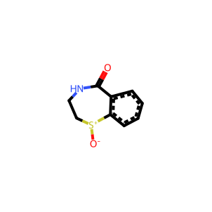 O=C1NCC[S+]([O-])c2ccccc21